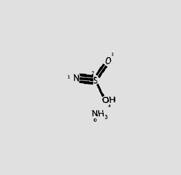 N.N#S(=O)O